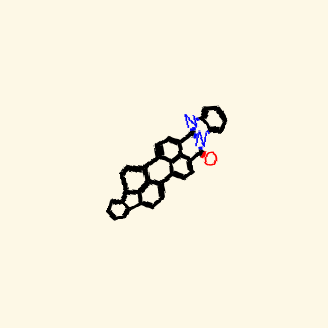 O=c1c2ccc3c4ccc5c6c(ccc(c7ccc(c2c37)c2nc3ccccc3n12)c64)-c1ccccc1-5